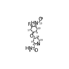 CNC(=O)c1cc(Oc2ccc(NC=O)c(F)c2)ccn1